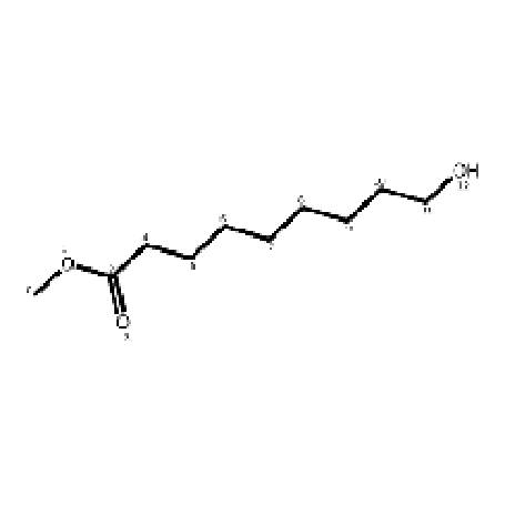 COC(=O)CCCCCCCCO